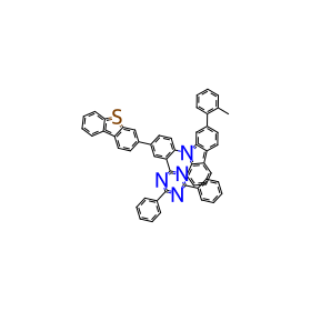 Cc1ccccc1-c1ccc2c3ccccc3n(-c3ccc(-c4ccc5c(c4)sc4ccccc45)cc3-c3nc(-c4ccccc4)nc(-c4ccccc4)n3)c2c1